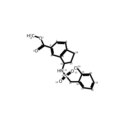 COC(=O)c1ccc2c(c1)C(NS(=O)(=O)Cc1ccccc1Cl)CC2